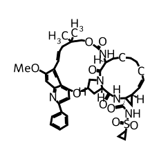 COc1cc2nc(-c3ccccc3)cc3c2cc1/C=C/CC(C)(C)COC(=O)N[C@H]1CCCCC/C=C\[C@@H]2C[C@@]2(C(=O)NS(=O)(=O)C2CC2)NC(=O)[C@@H]2C[C@H](CN2C1=O)O3